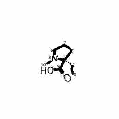 CC[C@@]1(C(=O)O)CCCN1C